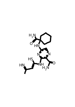 CC(=N)/C=C(\S)Nc1nc(NC2(C(N)=O)CCCCC2)cnc1C(N)=O